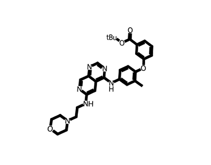 Cc1cc(Nc2ncnc3cnc(NCCN4CCOCC4)cc23)ccc1Oc1cccc(C(=O)OC(C)(C)C)c1